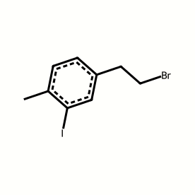 Cc1ccc(CCBr)cc1I